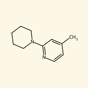 Cc1ccnc(N2CC[CH]CC2)c1